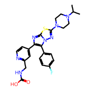 CC(C)N1CCN(c2nn3c(-c4ccc(F)cc4)c(-c4ccnc(CNC(=O)O)c4)nc3s2)CC1